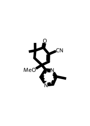 COC1(c2cncc(C)n2)C=C(C#N)C(=O)C(C)(C)C1